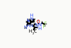 CCC1CN(C(=O)NCC(F)F)CC1Nc1c(C#N)cnc2[nH]ccc12